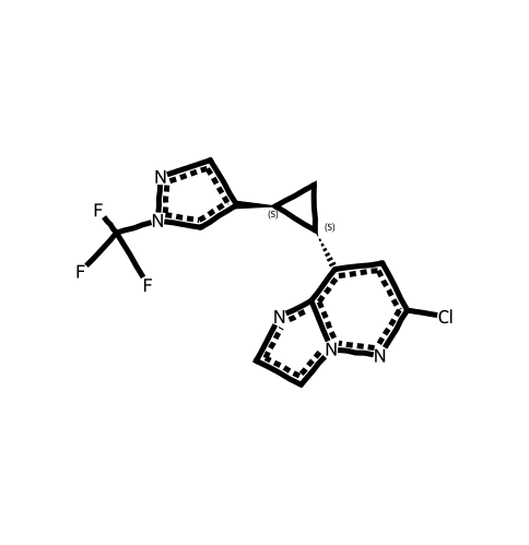 FC(F)(F)n1cc([C@H]2C[C@@H]2c2cc(Cl)nn3ccnc23)cn1